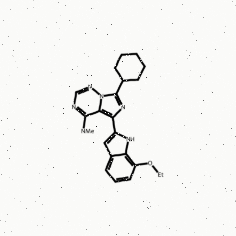 CCOc1cccc2cc(-c3nc(C4CCCCC4)n4ncnc(NC)c34)[nH]c12